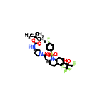 CC(C)(C)OC(=O)N[C@@H]1CCN(C(=O)C[C@@H]2CCc3cc(C(O)(CF)C(F)(F)F)ccc3N2S(=O)(=O)c2ccc(F)cc2)C1